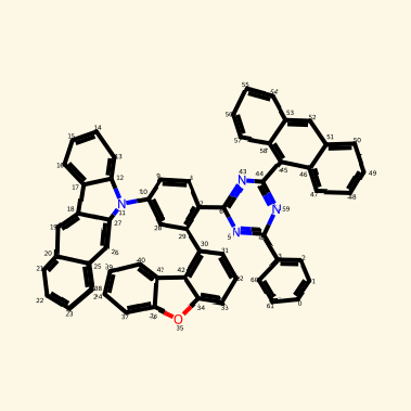 c1ccc(-c2nc(-c3ccc(-n4c5ccccc5c5cc6ccccc6cc54)cc3-c3cccc4oc5ccccc5c34)nc(-c3c4ccccc4cc4ccccc34)n2)cc1